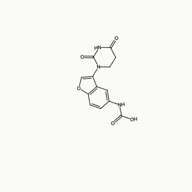 O=C(O)Nc1ccc2occ(N3CCC(=O)NC3=O)c2c1